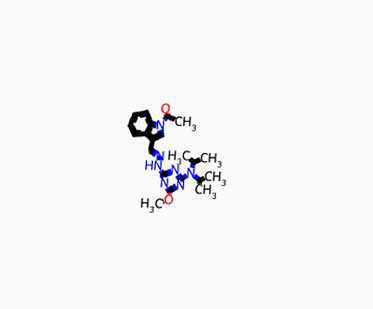 COc1nc(NN=Cc2cn(C(C)=O)c3ccccc23)nc(N(C(C)C)C(C)C)n1